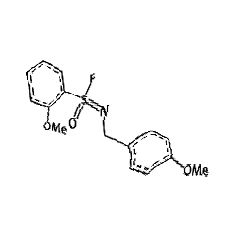 COc1ccc(CN=S(=O)(F)c2ccccc2OC)cc1